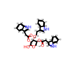 C[C@@H]1OC(O)[C@H](OC(=O)Cc2c[nH]c3ccccc23)[C@H](OCCc2c[nH]c3ccccc23)[C@H]1OC(=O)Cc1c[nH]c2ccccc12